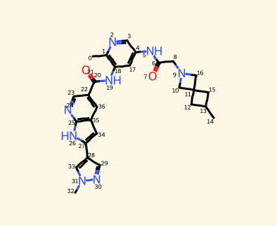 Cc1ncc(NC(=O)CN2CC3(CC(C)C3)C2)cc1NC(=O)c1cnc2[nH]c(-c3cnn(C)c3)cc2c1